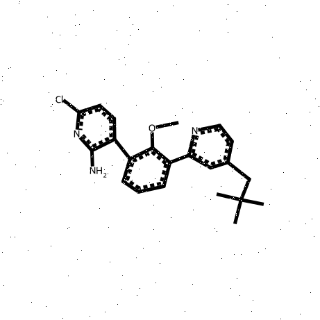 COc1c(-c2cc(CC(C)(C)C)ccn2)cccc1-c1ccc(Cl)nc1N